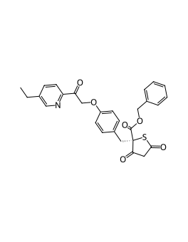 CCc1ccc(C(=O)COc2ccc(C[C@]3(C(=O)OCc4ccccc4)SC(=O)CC3=O)cc2)nc1